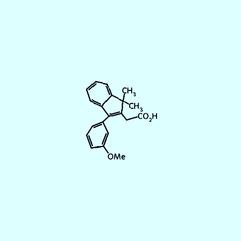 COc1cccc(C2=C(CC(=O)O)C(C)(C)c3ccccc32)c1